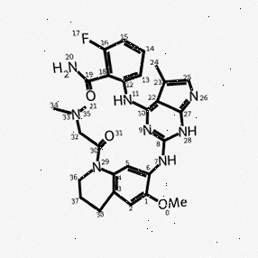 COc1cc2c(cc1Nc1nc(Nc3cccc(F)c3C(N)=O)c3c(C)cnc-3[nH]1)N(C(=O)CN(C)C)CCC2